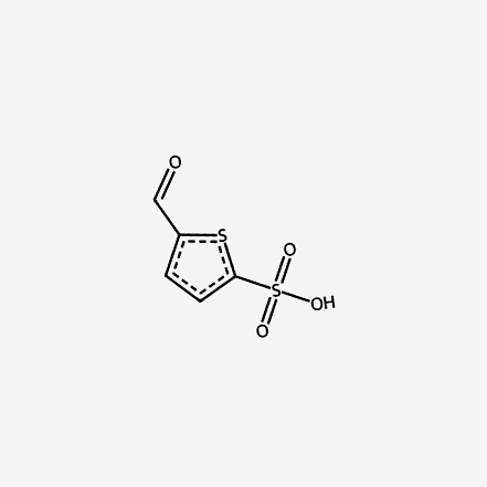 O=Cc1ccc(S(=O)(=O)O)s1